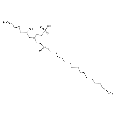 C=CCOCC(O)CN(CC[S+]([O-])CCCCCCCCCCCCCCCCCC)CCS(=O)(=O)O